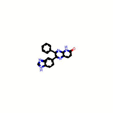 O=c1ccc2nc(-c3ccc4[nH]cnc4c3)c(-c3ccccc3)nc2[nH]1